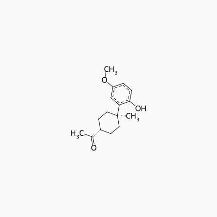 COc1ccc(O)c([C@]2(C)CC[C@@H](C(C)=O)CC2)c1